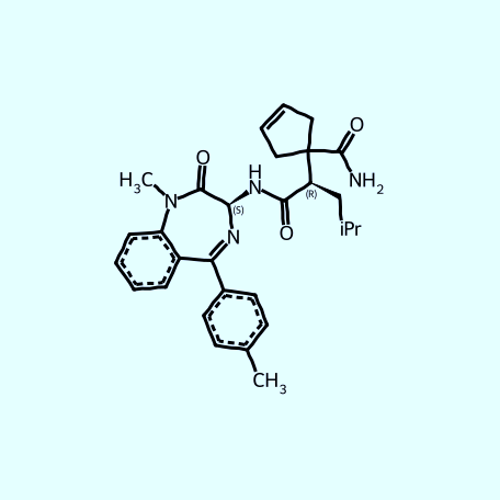 Cc1ccc(C2=N[C@H](NC(=O)[C@H](CC(C)C)C3(C(N)=O)CC=CC3)C(=O)N(C)c3ccccc32)cc1